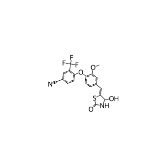 COc1cc(/C=C2\SC(=O)NC2O)ccc1Oc1ccc(C#N)cc1C(F)(F)F